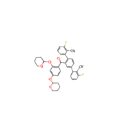 N#Cc1c(F)cccc1-c1ccc(-c2cccc(F)c2C#N)c(C(=O)c2ccc(OC3CCCCO3)cc2OC2CCCCO2)c1